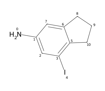 Nc1cc(I)c2c(c1)CCC2